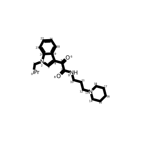 CC(C)Cn1cc(C(=O)C(=O)NCCCN2CCCCC2)c2ccccc21